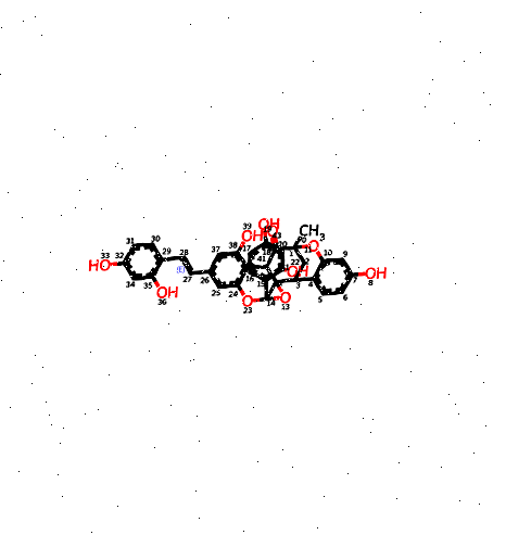 CC12CC(c3ccc(O)cc3O1)C13OC1(c1ccc(O)cc1O)Oc1cc(/C=C/c4ccc(O)cc4O)cc(O)c1C3C2=O